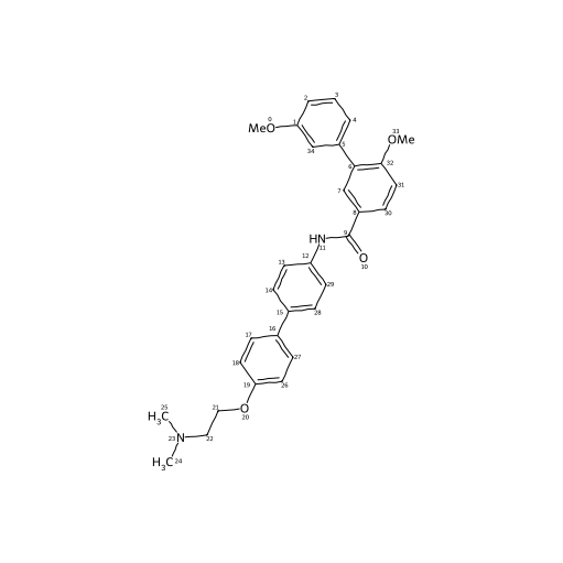 COc1cccc(-c2cc(C(=O)Nc3ccc(-c4ccc(OCCN(C)C)cc4)cc3)ccc2OC)c1